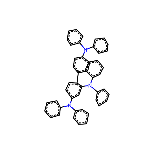 c1ccc(N(c2ccccc2)c2ccc(-c3ccc(N(c4ccccc4)c4ccccc4)cc3N(c3ccccc3)c3ccccc3)cc2)cc1